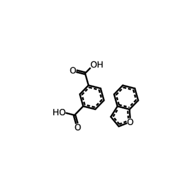 O=C(O)c1cccc(C(=O)O)c1.c1ccc2occc2c1